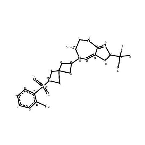 C[C@@H]1COC2=NC(C(C)(F)F)SC2=CN1C1CC2(C1)CN(S(=O)(=O)c1ccccc1F)C2